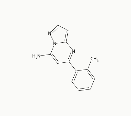 Cc1ccccc1-c1cc(N)n2nccc2n1